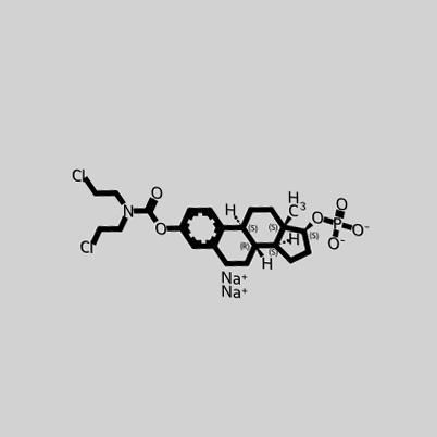 C[C@]12CC[C@@H]3c4ccc(OC(=O)N(CCCl)CCCl)cc4CC[C@H]3[C@@H]1CC[C@@H]2OP(=O)([O-])[O-].[Na+].[Na+]